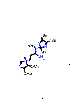 CCCCC1=NC(CCCC)(N(CCC)C(N)CC[N+]2(C)C=NC(OC)=C2OC)N=C1CCCC